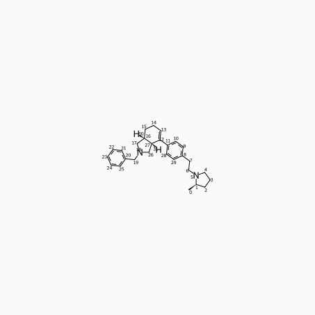 C[C@@H]1CCCN1CCc1ccc(C2=CCC[C@H]3CN(Cc4ccccc4)C[C@@H]23)cc1